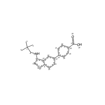 CC(C)(C)CNc1noc2ccc(-c3ccc(C(=O)O)cc3)cc12